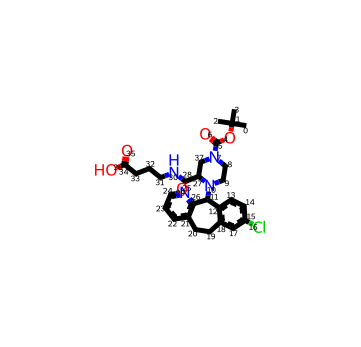 CC(C)(C)OC(=O)N1CCN(C2c3ccc(Cl)cc3CCc3cccnc32)C(C(=O)NCCCC(=O)O)C1